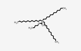 CCCCCCCCCCCC[PH](CCCCCCCCCCCC)(CCCCCCCCCCCC)C(C)OCCCC